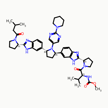 COC(=O)N[C@H](C(=O)N1CCC[C@H]1c1nc2ccc([C@H]3CC[C@H](c4ccc5nc([C@@H]6CCCN6C(=O)[CH]C(C)C)[nH]c5c4)N3c3cnc(N4CCCCC4)nc3)cc2[nH]1)C(C)C